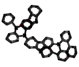 c1ccc(-c2ccccc2N(c2ccc3c(c2)sc2ccc(N(c4ccc5c(c4)sc4ccccc45)c4ccccc4N(c4ccccc4)c4ccccc4)cc23)c2ccccc2-c2ccccc2)cc1